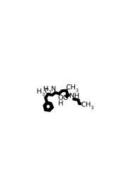 CCCCNC(=O)[C@H](C)C[C@H](O)[C@@H](N)C[C@H](C)Cc1ccccc1